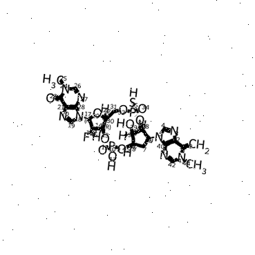 C=C1c2ncn([C@@H]3C[C@@H]4OP(=O)(O)O[C@H]5[C@@H](F)[C@H](n6cnc7c(=O)n(C)cnc76)O[C@@H]5COP(=O)(S)O[C@@H]3[C@@H]4O)c2N=CN1C